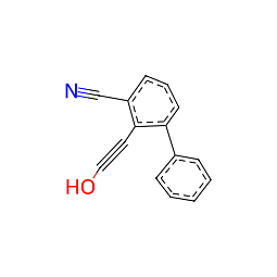 N#Cc1cccc(-c2ccccc2)c1C#CO